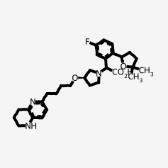 CC1(C)CCC(c2ccc(F)cc2C(C(=O)O)N2CC[C@@H](OCCCCc3ccc4c(n3)CCCN4)C2)O1